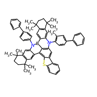 Cc1cc(-c2ccccc2)ccc1N1c2cc3c(cc2B2c4c1cc1c(sc5ccccc51)c4-c1cc4c(cc1N2c1ccc(-c2ccccc2)cc1)C(C)(C)CCC4(C)C)C(C)(C)CCC3(C)C